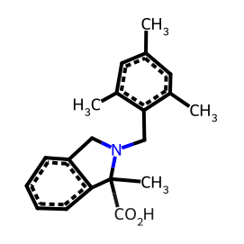 Cc1cc(C)c(CN2Cc3ccccc3C2(C)C(=O)O)c(C)c1